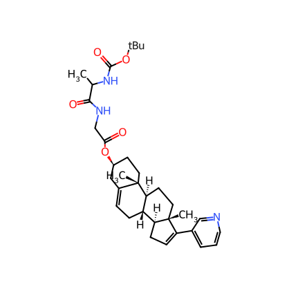 CC(NC(=O)OC(C)(C)C)C(=O)NCC(=O)O[C@H]1CC[C@@]2(C)C(=CC[C@@H]3[C@@H]2CC[C@]2(C)C(c4cccnc4)=CC[C@@H]32)C1